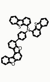 c1ccc2c(c1)oc1ccc3oc4c(-c5ccc(N(c6cccc7c6sc6ccccc67)c6cccc7c6sc6ccccc67)cc5)cccc4c3c12